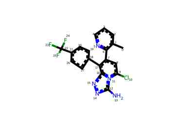 Cc1cccnc1-c1cc(Cl)n2c(N)nnc2c1-c1ccc(C(F)(F)F)cc1